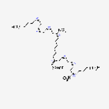 CCCCC/C=C(\C/C=C\C/C=C\C/C(=C\CCCC(=O)O)[N+](=O)[O-])CCCCC/C=C(\C/C=C\C/C=C\C/C=C\CCCC(=O)O)[N+](=O)[O-]